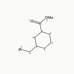 COC(=O)C1CCCC(CC(C)C)C1